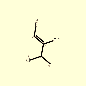 CC(Cl)/C(F)=[C]/F